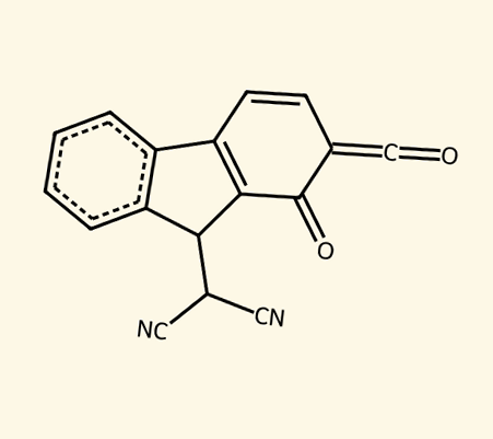 N#CC(C#N)C1C2=C(C=CC(=C=O)C2=O)c2ccccc21